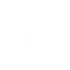 O=CCCSC1CCCC1